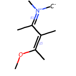 [CH2-]/[N+](C)=C(C)\C(C)=C(\C)OC